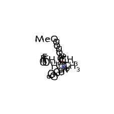 COCCOCCOCCOCCOCCN1C(=C=CC2CCCC(/C=C/C3=[N+](CCOCCOCCC(=O)Oc4ccccc4)c4ccccc4C3(C)C)=C2Cl)C(C)(C)c2ccccc21.O=C([O-])C(F)(F)F